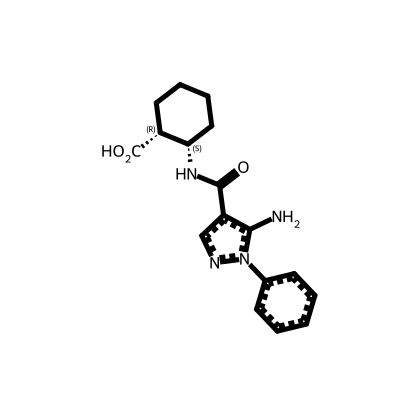 Nc1c(C(=O)N[C@H]2CCCC[C@H]2C(=O)O)cnn1-c1ccccc1